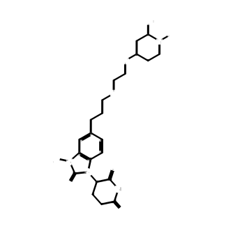 Cn1c(=O)n(C2CCC(=O)NC2=O)c2ccc(CCCOCCOC3CCN(C(=O)O)C(C(C)(C)C)C3)cc21